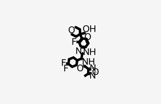 Cc1nonc1C(=O)NC(c1nc2c(F)c(C3(C(=O)O)CCOCC3)ccc2[nH]1)C1CCC(F)(F)CC1